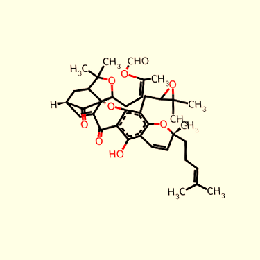 CC(C)=CCC[C@]1(C)C=Cc2c(O)c3c(c(CC4OC4(C)C)c2O1)O[C@]12C(=C[C@@H]4CC1C(C)(C)OC2(C/C=C(/C)OC=O)C4=O)C3=O